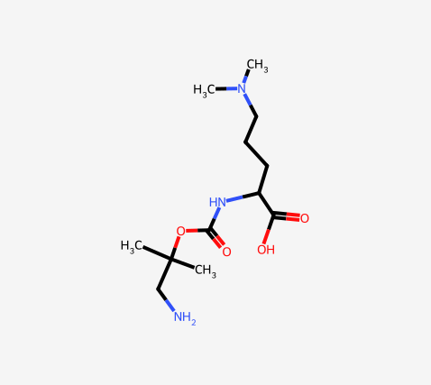 CN(C)CCCC(NC(=O)OC(C)(C)CN)C(=O)O